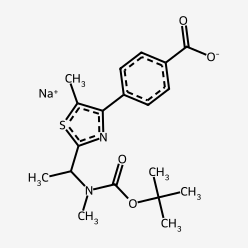 Cc1sc(C(C)N(C)C(=O)OC(C)(C)C)nc1-c1ccc(C(=O)[O-])cc1.[Na+]